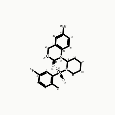 Cc1ccc(F)cc1S(=O)(=O)N1CCCCC1N1C(=O)OCc2cc(Br)ccc21